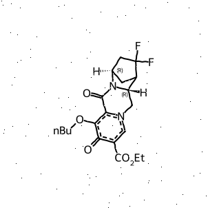 CCCCOc1c2n(cc(C(=O)OCC)c1=O)C[C@H]1C3C[C@H](CC3(F)F)N1C2=O